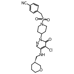 N#Cc1ccc(CS(=O)(=O)N2CCC(n3ncc(NC[C@@H]4CCCOC4)c(Cl)c3=O)CC2)cc1